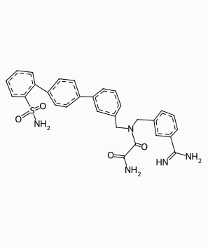 N=C(N)c1cccc(CN(Cc2cccc(-c3ccc(-c4ccccc4S(N)(=O)=O)cc3)c2)C(=O)C(N)=O)c1